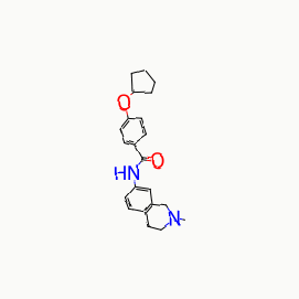 CN1CCc2ccc(NC(=O)c3ccc(OC4CCCC4)cc3)cc2C1